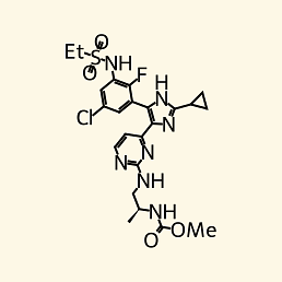 CCS(=O)(=O)Nc1cc(Cl)cc(-c2[nH]c(C3CC3)nc2-c2ccnc(NC[C@H](C)NC(=O)OC)n2)c1F